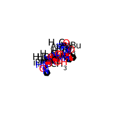 CC[C@H](C)[C@H](NC(=O)[C@H](C)N(C)C(C)=O)C(=O)N(C)[C@@H](Cc1ccccc1)C(=O)N(C)[C@@H](Cc1ccccc1)C(=O)N[C@H](C(=O)N(C)[C@@H](C)C(=O)N(C)[C@@H](CC(C)C)C(=O)N(C)[C@@H](CC(C)C)C(=O)NCC(=O)N1CCCCC1)[C@@H](C)O